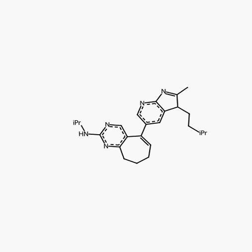 CC1=Nc2ncc(C3=CCCCc4nc(NC(C)C)ncc43)cc2C1CCC(C)C